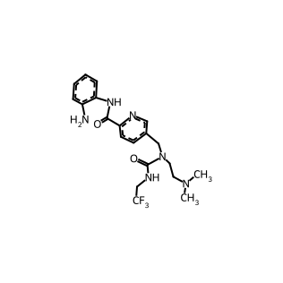 CN(C)CCN(Cc1ccc(C(=O)Nc2ccccc2N)nc1)C(=O)NCC(F)(F)F